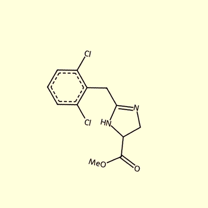 COC(=O)C1CN=C(Cc2c(Cl)cccc2Cl)N1